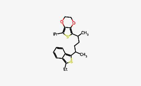 CCc1sc(C(C)CCC(C)c2sc(C(C)C)c3c2OCCO3)c2ccccc12